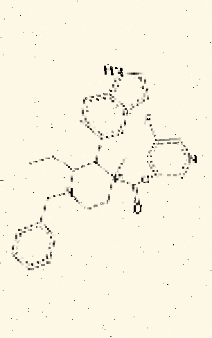 CCC1C(c2ccc3[nH]ccc3c2)[N+](Cc2ccncc2F)(C(=O)[O-])CCN1Cc1ccccc1